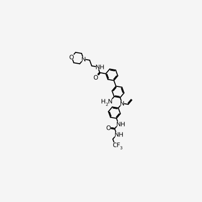 C=CN(c1cccc(NC(=O)NCC(F)(F)F)c1)c1ccc(-c2cccc(C(=O)NCCN3CCOCC3)c2)cc1N